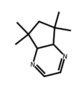 CC1(C)CC(C)(C)C2N=CC=NC21